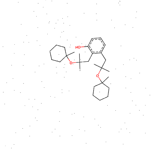 CC(C)(Cc1cccc(O)c1CC(C)(C)OC1(C)CCCCC1)OC1(C)CCCCC1